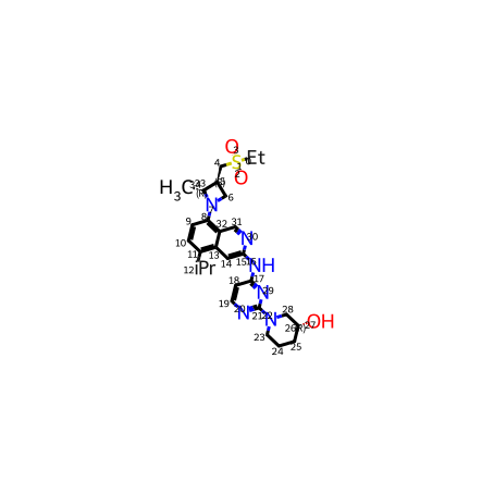 CCS(=O)(=O)C[C@H]1CN(c2ccc(C(C)C)c3cc(Nc4ccnc(N5CCC[C@@H](O)C5)n4)ncc23)[C@@H]1C